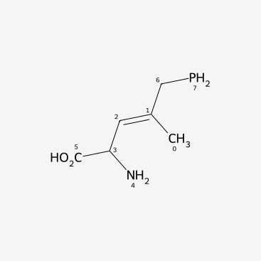 C/C(=C\C(N)C(=O)O)CP